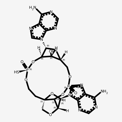 Nc1ncnc2c1ncn2[C@@H]1O[C@@H]2CO[P@@](=O)(S)O[C@H]3[C@H]4OC[C@]3(CCO[P@@](=O)(S)O[C@@H]1[C@@H]2O)O[C@H]4n1cnc2c(N)ncnc21